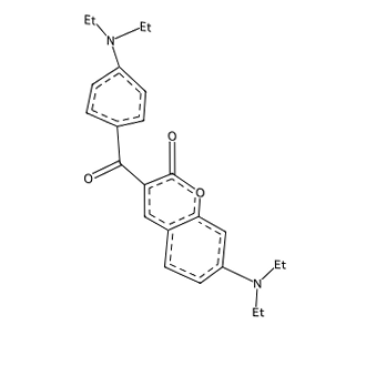 CCN(CC)c1ccc(C(=O)c2cc3ccc(N(CC)CC)cc3oc2=O)cc1